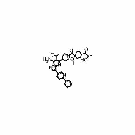 CC(=O)c1c(C2CCN(C(=O)C3(O)CCC(C(=O)[C@@H](C)O)CC3)CC2)nc2c(-c3ccc(-c4ccccc4)nc3)cnn2c1N